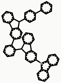 c1ccc(-c2ccc(C3c4ccccc4-c4cc(-c5ccccc5C5c6ccccc6-c6cc(-n7c8ccccc8c8ccccc87)ccc65)ccc43)cc2)cc1